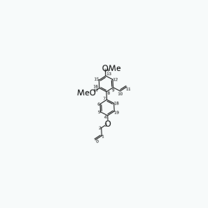 C=CCOc1ccc(-c2c(C=C)cc(OC)cc2OC)cc1